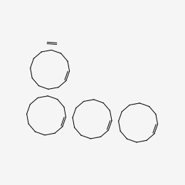 C1=CCCCCCCCCCC1.C1=CCCCCCCCCCC1.C1=CCCCCCCCCCC1.C1=CCCCCCCCCCC1.C=C